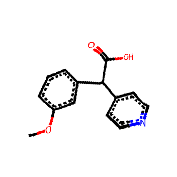 COc1cccc(C(C(=O)O)c2ccncc2)c1